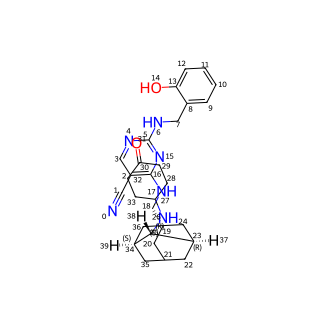 N#Cc1cnc(NCc2ccccc2O)nc1NC[C@@]12CC3C[C@H](C1)[C@@H](NC1CCC(=O)CC1)[C@@H](C3)C2